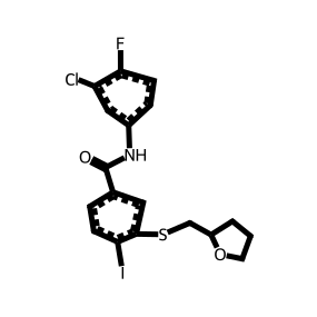 O=C(Nc1ccc(F)c(Cl)c1)c1ccc(I)c(SCC2CCCO2)c1